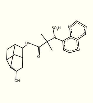 CC(C)(C(=O)NC1C2CC3CC1CC(O)(C3)C2)N(c1cccc2cccnc12)S(=O)(=O)O